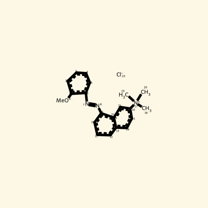 COc1ccccc1N=Nc1cccc2ccc([N+](C)(C)C)cc12.[Cl-]